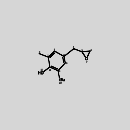 Cc1cc(CC2CO2)cc(C(C)(C)C)c1O